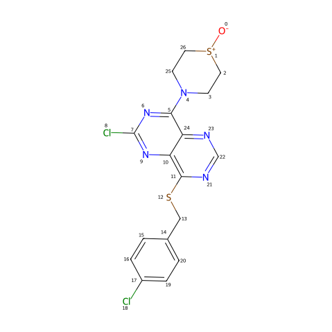 [O-][S+]1CCN(c2nc(Cl)nc3c(SCc4ccc(Cl)cc4)ncnc23)CC1